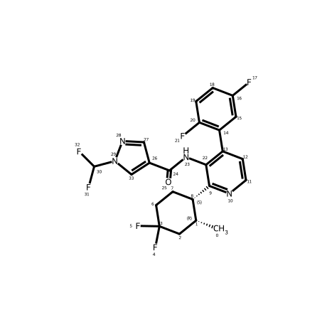 C[C@@H]1CC(F)(F)CC[C@@H]1c1nccc(-c2cc(F)ccc2F)c1NC(=O)c1cnn(C(F)F)c1